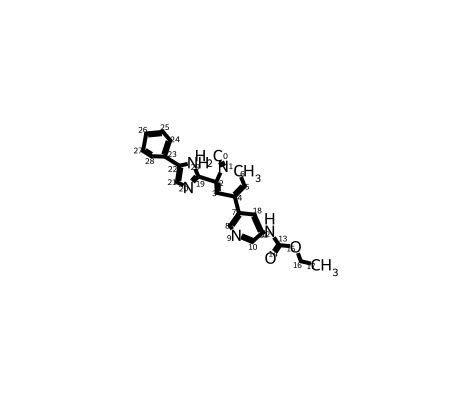 C=N/C(=C\C(=C/C)c1cncc(NC(=O)OCC)c1)c1ncc(-c2ccccc2)[nH]1